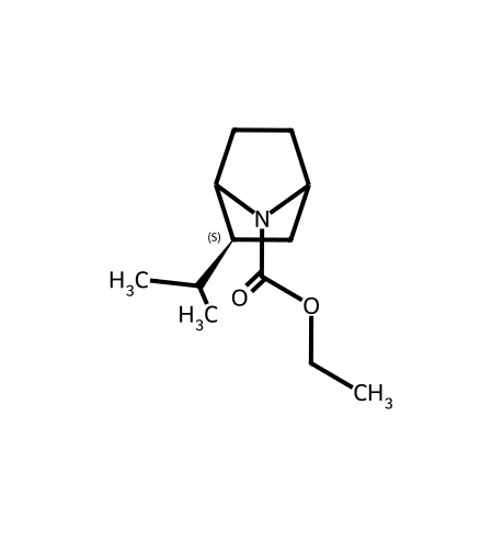 CCOC(=O)N1C2CCC1[C@H](C(C)C)C2